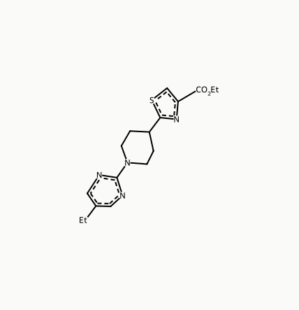 CCOC(=O)c1csc(C2CCN(c3ncc(CC)cn3)CC2)n1